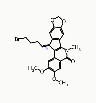 COc1cc2c3c(n(C)c(=O)c2cc1OC)-c1cc2c(cc1/C3=C\CCCBr)OCO2